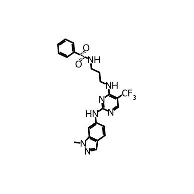 Cn1ncc2ccc(Nc3ncc(C(F)(F)F)c(NCCCNS(=O)(=O)c4ccccc4)n3)cc21